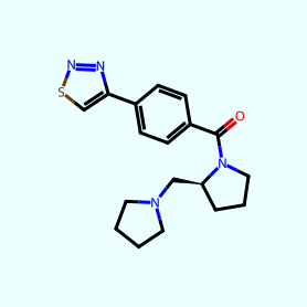 O=C(c1ccc(-c2csnn2)cc1)N1CCC[C@H]1CN1CCCC1